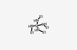 CCN[Si](NCC)(NCC)NCC